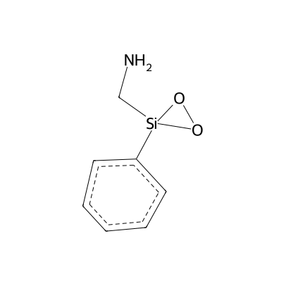 NC[Si]1(c2ccccc2)OO1